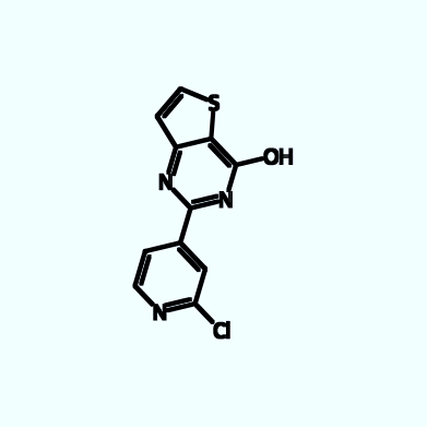 Oc1nc(-c2ccnc(Cl)c2)nc2ccsc12